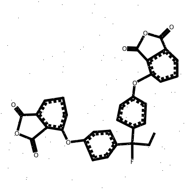 CCC(F)(c1ccc(Oc2cccc3c2C(=O)OC3=O)cc1)c1ccc(Oc2cccc3c2C(=O)OC3=O)cc1